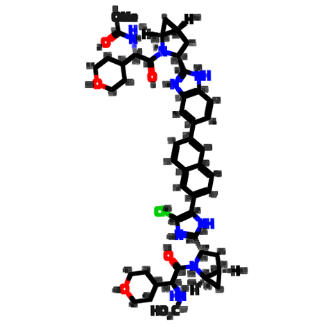 COC(=O)N[C@H](C(=O)N1[C@@H]2C[C@@H]2C[C@H]1c1nc2cc(-c3ccc4cc(-c5[nH]c([C@@H]6C[C@H]7C[C@H]7N6C(=O)[C@@H](NC(=O)O)C6CCOCC6)nc5Cl)ccc4c3)ccc2[nH]1)C1CCOCC1